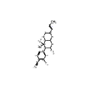 [2H]C1CC2CC(/C=C/C)CCC2C([2H])([2H])C1c1ccc(C#N)c(F)c1